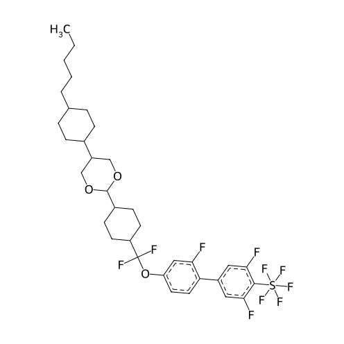 CCCCCC1CCC(C2COC(C3CCC(C(F)(F)Oc4ccc(-c5cc(F)c(S(F)(F)(F)(F)F)c(F)c5)c(F)c4)CC3)OC2)CC1